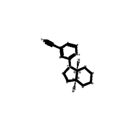 N#Cc1ccnc(N2CC[C@@H]3CCCC[C@@H]32)c1